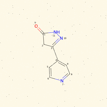 O=C1CC(c2ccncc2)=NN1